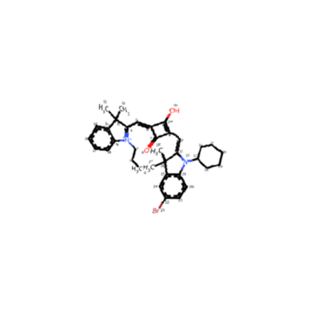 CCC[N+]1=C(C=C2C(=O)C(C=C3N(C4CCCCC4)c4ccc(Br)cc4C3(C)C)=C2O)C(C)(C)c2ccccc21